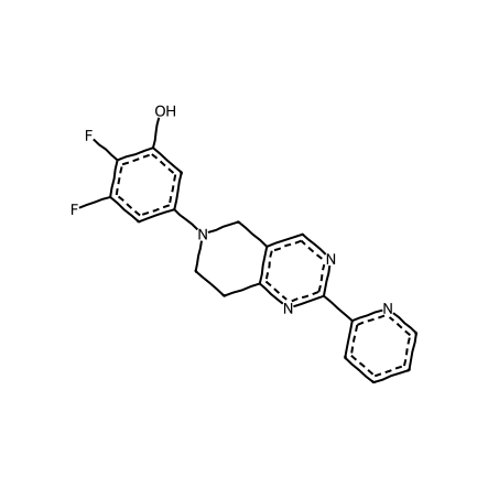 Oc1cc(N2CCc3nc(-c4ccccn4)ncc3C2)cc(F)c1F